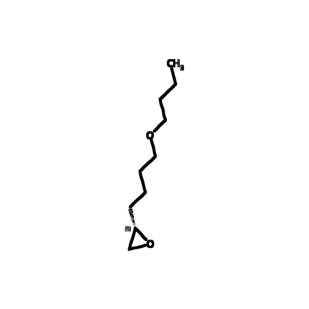 CCCCOCCCC[C@H]1CO1